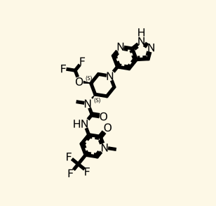 CN(C(=O)Nc1cc(C(F)(F)F)cn(C)c1=O)[C@H]1CCN(c2cnc3[nH]ncc3c2)C[C@@H]1OC(F)F